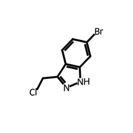 ClCc1n[nH]c2cc(Br)ccc12